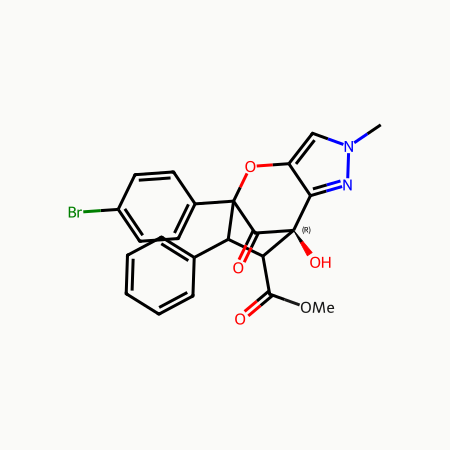 COC(=O)C1C(c2ccccc2)C2(c3ccc(Br)cc3)Oc3cn(C)nc3[C@@]1(O)C2=O